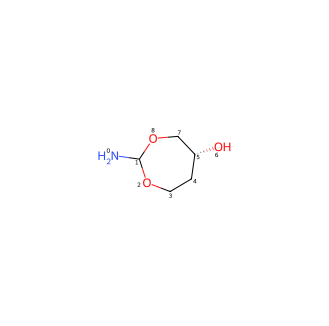 NC1OCC[C@@H](O)CO1